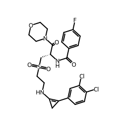 O=C(N[C@H](CS(=O)(=O)CCNC1=C(c2ccc(Cl)c(Cl)c2)C1)C(=O)N1CCOCC1)c1ccc(F)cc1